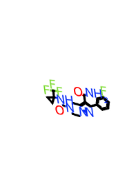 NC(=O)c1c(-c2cccc(F)c2)nn2c1CN(C(=O)NC1(C(F)(F)F)CC1)CC2